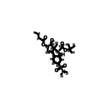 CCCC(=O)ON1N=C(c2ccc(S(=O)(=O)N(C)C)cc2)C(C)(N(O)C(=O)OC(C)(C)C)C1=O